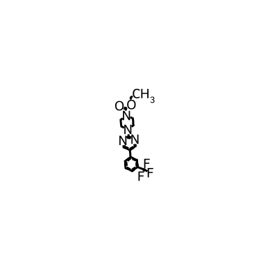 CCOC(=O)N1CCN(c2ncc(-c3cccc(C(F)(F)F)c3)cn2)CC1